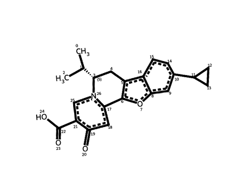 CC(C)[C@@H]1Cc2c(oc3cc(C4CC4)ccc23)-c2cc(=O)c(C(=O)O)cn21